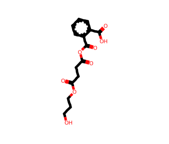 O=C(CCC(=O)OC(=O)c1ccccc1C(=O)O)OCCCO